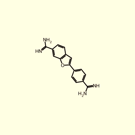 N=C(N)c1ccc(-c2cc3ccc(C(=N)N)cc3o2)cc1